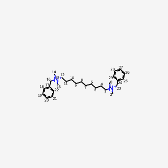 C[N+](C)(CCCCCCCCCC[N+](C)(C)Cc1ccccc1)Cc1ccccc1